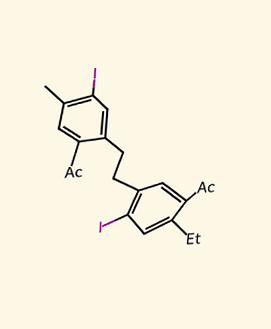 CCc1cc(I)c(CCc2cc(I)c(C)cc2C(C)=O)cc1C(C)=O